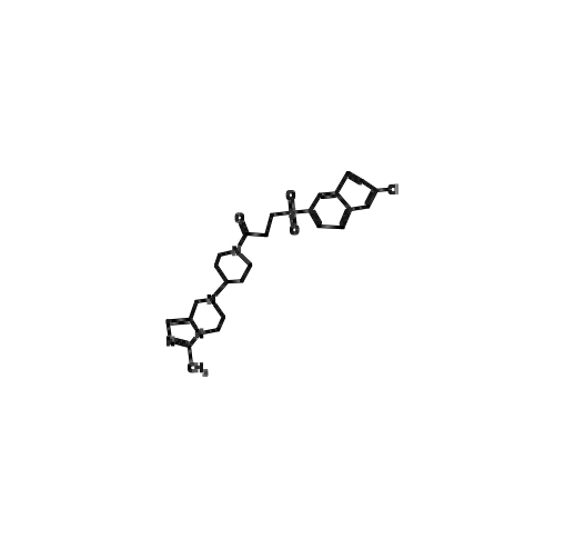 Cc1ncc2n1CCN(C1CCN(C(=O)CCS(=O)(=O)c3ccc4cc(Cl)ccc4c3)CC1)C2